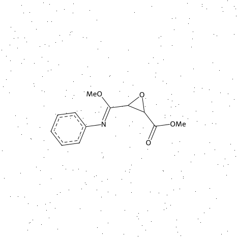 COC(=O)C1OC1C(=Nc1ccccc1)OC